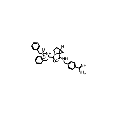 N=C(N)c1ccc(CNC(=O)[C@]23C[C@H]2CCN3C(=O)[C@H](Cc2ccccc2)NS(=O)(=O)Cc2ccccc2)cc1